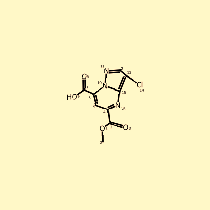 COC(=O)c1cc(C(=O)O)n2ncc(Cl)c2n1